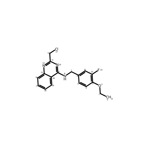 CCOc1ccc(CNc2nc(CCl)nc3ccccc23)cc1F